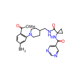 Bc1ccc(C(=O)OC)c(N2CCC(CNC(=O)C3(NC(=O)c4cncnc4)CC3)CC2)c1